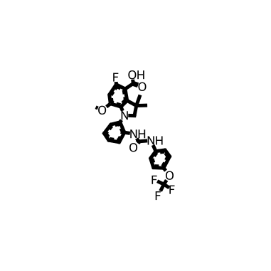 COc1cc(F)c(C(=O)O)c2c1N(c1ccccc1NC(=O)Nc1ccc(OC(F)(F)F)cc1)CC2(C)C